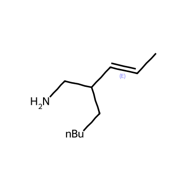 C/C=C/C(CN)CCCCC